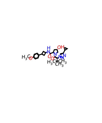 COc1ccc(C2CC(NC(=O)C3CC(O)CN3C(=O)[C@@H](n3cc(C4CC4)nn3)C(C)(C)C)C2)cc1